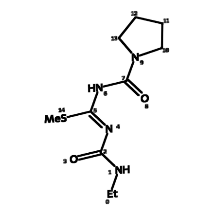 CCNC(=O)N=C(NC(=O)N1CCCC1)SC